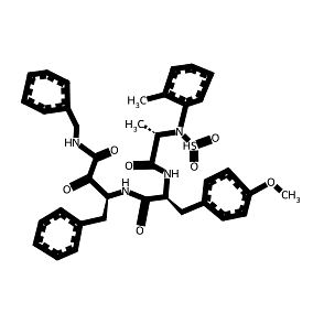 COc1ccc(C[C@H](NC(=O)[C@H](C)N(c2ccccc2C)[SH](=O)=O)C(=O)N[C@@H](Cc2ccccc2)C(=O)C(=O)NCc2ccccc2)cc1